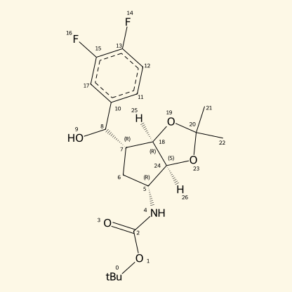 CC(C)(C)OC(=O)N[C@@H]1C[C@H](C(O)c2ccc(F)c(F)c2)[C@H]2OC(C)(C)O[C@H]21